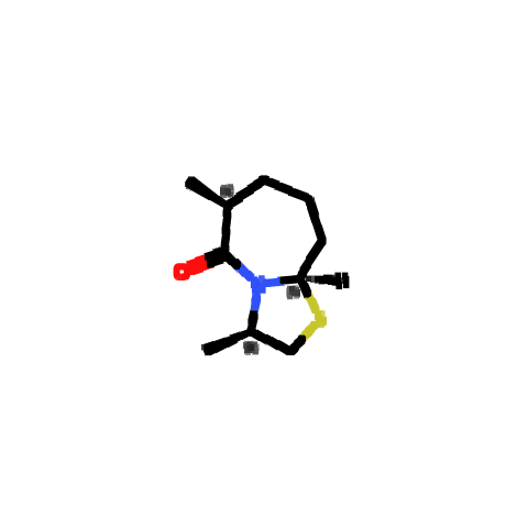 C[C@@H]1CS[C@@H]2CCC[C@H](C)C(=O)N12